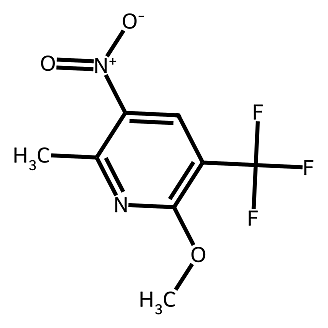 COc1nc(C)c([N+](=O)[O-])cc1C(F)(F)F